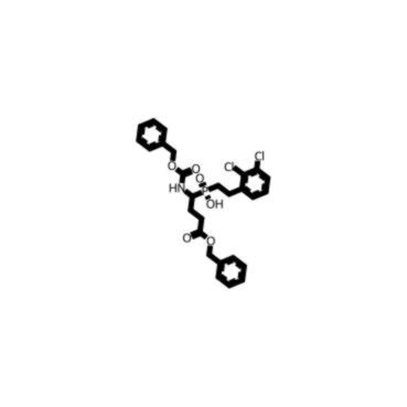 O=C(CCC(NC(=O)OCc1ccccc1)P(=O)(O)CCc1cccc(Cl)c1Cl)OCc1ccccc1